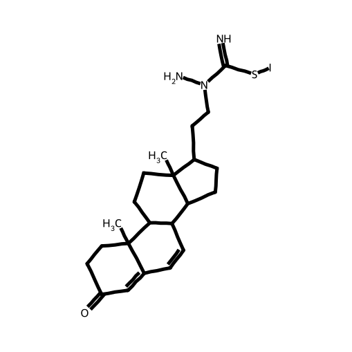 CC12CCC(=O)C=C1C=CC1C2CCC2(C)C(CCN(N)C(=N)SI)CCC12